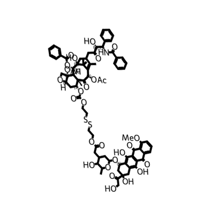 COc1cccc2c1C(=O)c1c(O)c3c(c(O)c1C2=O)CC(O)(C(=O)CO)C[C@@H]3OC1CC(CC(=O)OCCSSCCOC(=O)O[C@H]2C[C@H]3OC[C@@]3(OC(C)=O)[C@H]3[C@H](OC(=O)c4ccccc4)[C@]4(O)CC(CC(=O)[C@H](O)[C@@H](NC(=O)c5ccccc5)c5ccccc5)C(C)=C([C@@H](OC(C)=O)C(=O)[C@]23C)C4(C)C)C(O)C(C)O1